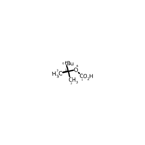 CC(C)(C)C(C)(C)OC(=O)O